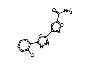 NC(=O)c1cc(-c2nnc(-c3ccccc3Cl)s2)no1